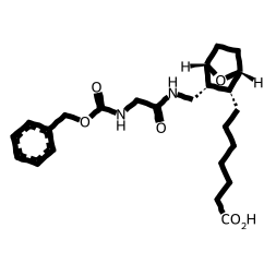 O=C(O)CCCCCC[C@@H]1[C@H](CNC(=O)CNC(=O)OCc2ccccc2)[C@@H]2CC[C@H]1O2